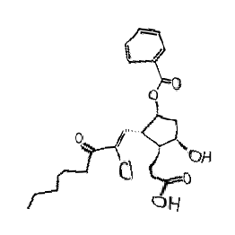 CCCCCC(=O)C(Cl)=C[C@H]1[C@H](CC(=O)O)[C@H](O)C[C@@H]1OC(=O)c1ccccc1